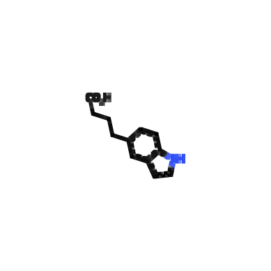 O=C(O)CCCc1ccc2[nH]ccc2c1